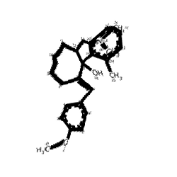 COc1ccc(C=C2CCCCC(CN(C)C)C2(O)c2ccccc2C)cc1